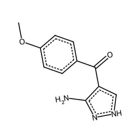 COc1ccc(C(=O)c2c[nH]nc2N)cc1